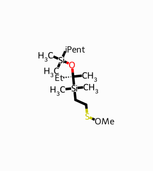 CCCC(C)[Si](C)(C)O[C@](C)(CC)[Si](C)(C)CCSOC